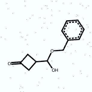 O=C1CC(C(O)OCc2ccccc2)C1